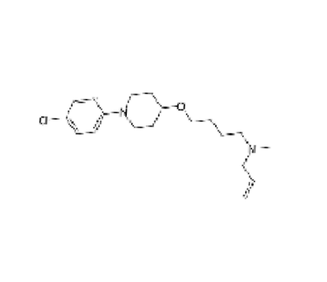 C=CCN(C)CCCCOC1CCN(c2[c]cc(Cl)cc2)CC1